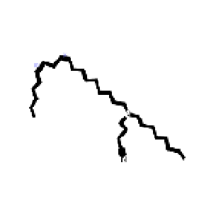 CCCCC/C=C\C/C=C\CCCCCCCCN(CCCC#N)CCCCCCCC